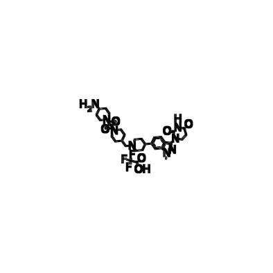 Cn1nc(N2CCC(=O)NC2=O)c2ccc(C3CCN(CC4CCN(S(=O)(=O)N5CCC(N)CC5)CC4)CC3)cc21.O=C(O)C(F)(F)F